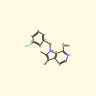 COc1nccc2c(C)c(C)n(Cc3cccc(F)c3)c12